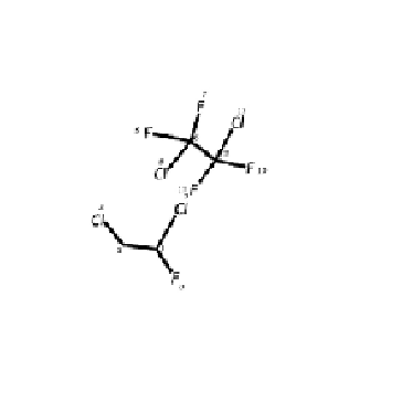 FC(Cl)CCl.FC(F)(Cl)C(F)(F)Cl